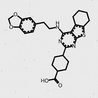 O=C(O)C1CCC(c2nc(NCCc3ccc4c(c3)OCO4)c3c4c(sc3n2)CCCC4)CC1